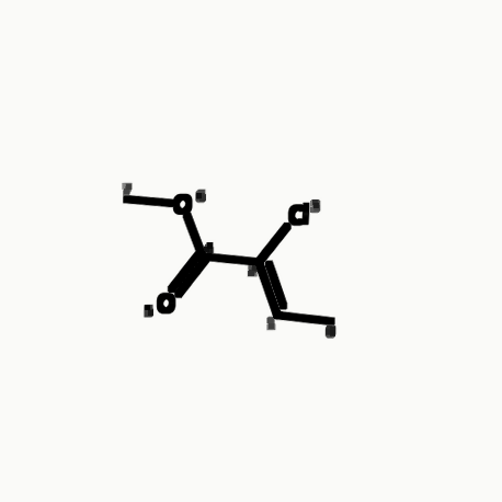 CC=C(Cl)C(=O)OC